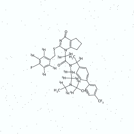 [2H]c1c([2H])c(CSc2nc(=O)c3c(n2C([2H])([2H])C(=O)N(C([2H])(C)c2ccc(-c4ccc(C(F)(F)F)cc4)cc2)C([2H])([2H])C([2H])([2H])N(C([2H])([2H])C)C([2H])([2H])C)CCC3)c([2H])c([2H])c1F